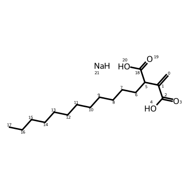 C=C(C(=O)O)C(CCCCCCCCCCCC)C(=O)O.[NaH]